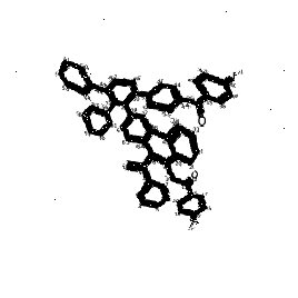 C=C(c1ccccc1)c1c(CC(=O)c2ccc(F)cc2)c2ccccc2c2cc(-c3c(-c4ccc(C(=O)c5ccc(F)cc5)cc4)ccc(-c4ccccc4)c3-c3ccccc3)ccc12